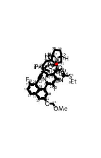 CCSc1nc2c3c(nc(-c4cc(OCOC)cc5ccc(F)c(C#C[Si](C(C)C)(C(C)C)C(C)C)c45)c(F)c3n1)CCC[C@@H]1[C@@H]3CC[C@H](CN21)N3C(=O)OC(C)(C)C